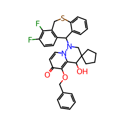 O=c1ccn2c(c1OCc1ccccc1)C(O)C1(CCCC1)CN2C1c2ccccc2SCc2c1ccc(F)c2F